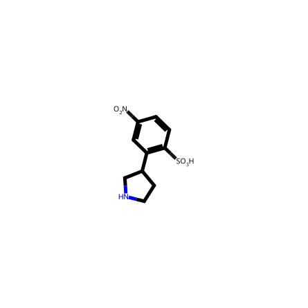 O=[N+]([O-])c1ccc(S(=O)(=O)O)c(C2CCNC2)c1